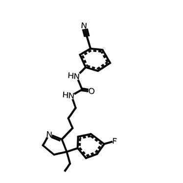 CCC1(c2ccc(F)cc2)CCN=C1CCCNC(=O)Nc1cccc(C#N)c1